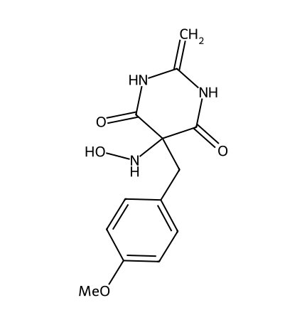 C=C1NC(=O)C(Cc2ccc(OC)cc2)(NO)C(=O)N1